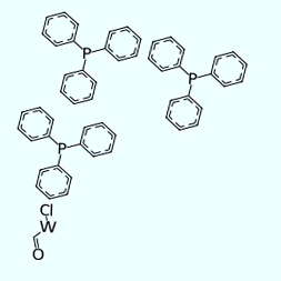 O=[CH][W][Cl].c1ccc(P(c2ccccc2)c2ccccc2)cc1.c1ccc(P(c2ccccc2)c2ccccc2)cc1.c1ccc(P(c2ccccc2)c2ccccc2)cc1